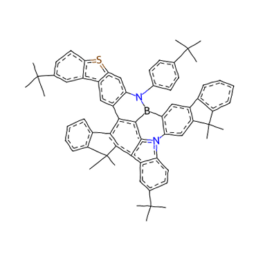 CC(C)(C)c1ccc(N2B3c4cc5c(cc4-n4c6ccc(C(C)(C)C)cc6c6c7c(c(c3c64)-c3cc4c(cc32)sc2ccc(C(C)(C)C)cc24)-c2ccccc2C7(C)C)C(C)(C)c2ccccc2-5)cc1